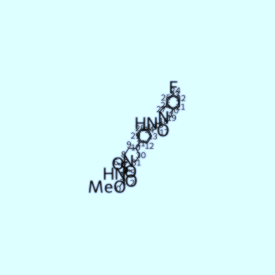 COC(=O)NS(=O)(=O)N1CCC(c2ccc(NC(=O)N3Cc4ccc(F)cc4C3)cc2)CC1